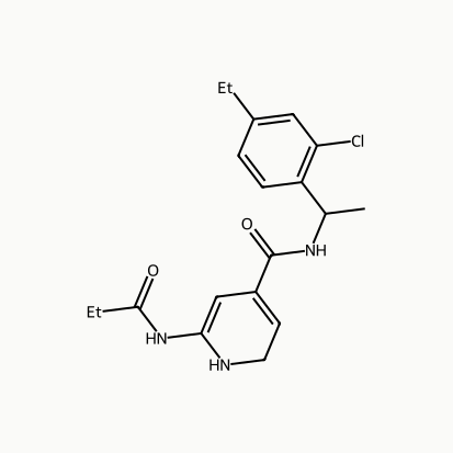 CCC(=O)NC1=CC(C(=O)NC(C)c2ccc(CC)cc2Cl)=CCN1